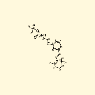 CC1=C(C=Cc2cccc(OCCNC(=O)OC(C)(C)C)c2)C(C)(C)CCC1